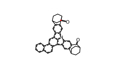 O=C1c2cc3c(cc2C2CCC1CC2)c1cc2c4ccccc4ccc2c2c4cc5c(cc4n3c12)C(=O)C1CCC5CC1